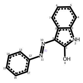 Oc1[nH]c2ccccc2c1/N=N/c1ccccc1